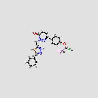 O=c1ccc(-c2ccc(OC(F)P)cc2)nn1Cc1nnc(-c2ccccc2)s1